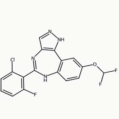 Fc1cccc(Cl)c1C1=Nc2cn[nH]c2-c2cc(OC(F)F)ccc2N1